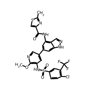 COc1ncc(-c2cc(NC(=O)c3csc(C)n3)c3cn[nH]c3c2)cc1NS(=O)(=O)c1ccc(Cl)c(C(F)(F)F)c1